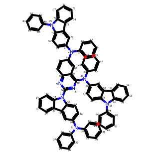 c1ccc(N(c2ccc3nc(-n4c5ccccc5c5cc(N(c6ccccc6)c6ccccc6)ccc54)nc(N(c4ccccc4)c4ccc5c(c4)c4ccccc4n5-c4ccccc4)c3c2)c2ccc3c(c2)c2ccccc2n3-c2ccccc2)cc1